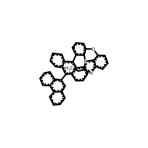 CCc1nc2cccc3c2n1-c1c(cccc1-c1c2ccccc2c(-c2cc4ccccc4c4ccccc24)c2ccccc12)O3